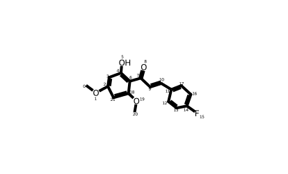 COc1cc(O)c(C(=O)/C=C/c2ccc(F)cc2)c(OC)c1